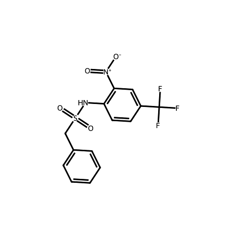 O=[N+]([O-])c1cc(C(F)(F)F)ccc1NS(=O)(=O)Cc1ccccc1